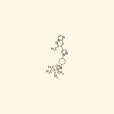 Cc1nn2ccnc2cc1-c1cnn(C2CCC(O[Si](C)(C)C(C)(C)C)CC2)c1